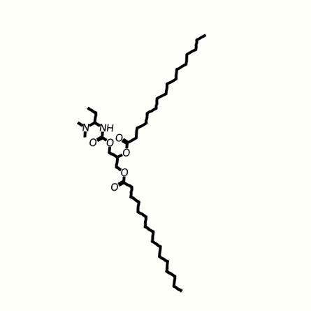 CCCCCCCCCCCCCCCC(=O)OCC(COC(=O)NC(CC)N(C)C)OC(=O)CCCCCCCCCCCCCCC